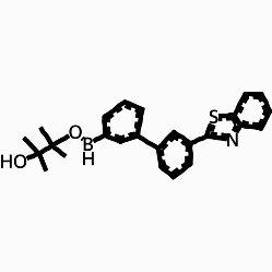 CC(C)(O)C(C)(C)OBc1cccc(-c2cccc(-c3nc4ccccc4s3)c2)c1